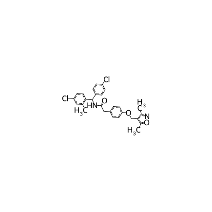 Cc1cc(Cl)ccc1C(NC(=O)Cc1ccc(OCc2c(C)noc2C)cc1)c1ccc(Cl)cc1